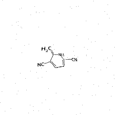 C=C1NC(C#N)=CC=C1C#N